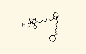 CN(O)C(=O)CCCCOCC1C2CCC(O2)C1CCCCSC1CCCCC1